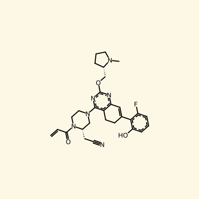 C=CC(=O)N1CCN(c2nc(OC[C@@H]3CCCN3C)nc3c2CCC(c2c(O)cccc2F)=C3)C[C@@H]1CC#N